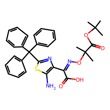 CC(C)(C)OC(=O)C(C)(C)ON=C(C(=O)O)c1nc(C(c2ccccc2)(c2ccccc2)c2ccccc2)sc1N